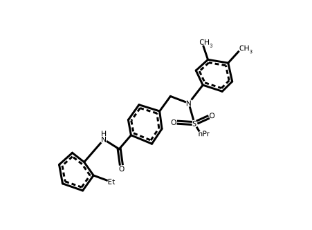 CCCS(=O)(=O)N(Cc1ccc(C(=O)Nc2ccccc2CC)cc1)c1ccc(C)c(C)c1